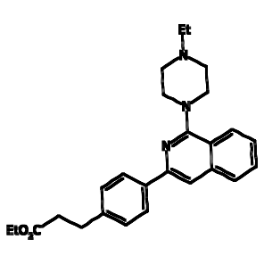 CCOC(=O)CCc1ccc(-c2cc3ccccc3c(N3CCN(CC)CC3)n2)cc1